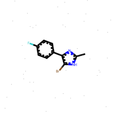 Cc1nc(-c2ccc(F)cc2)c(Br)[nH]1